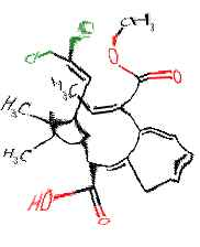 CC=C(C(=O)OC)C1=CC=CCC1=C(C(=O)O)C1C(C=C(Cl)Cl)C1(C)C